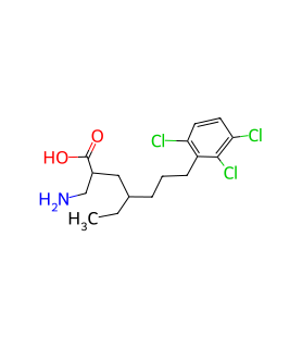 CCC(CCCc1c(Cl)ccc(Cl)c1Cl)CC(CN)C(=O)O